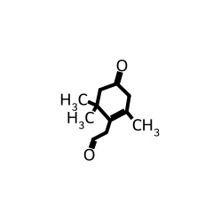 CC1=C(CC=O)C(C)(C)CC(=O)C1